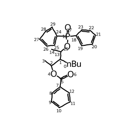 CCCCC(C(C)OC(=O)c1ccccc1)C(C)OP(=O)(c1ccccc1)c1ccccc1